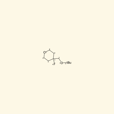 CC(C)(C)OCC1(F)CCOCC1